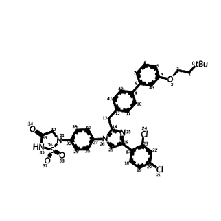 CC(C)(C)CCOc1cccc(-c2ccc(Cc3nc(-c4ccc(Cl)cc4Cl)cn3-c3ccc(N4CC(=O)NS4(=O)=O)cc3)cc2)c1